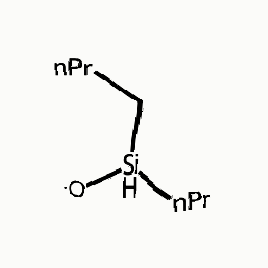 CCCC[SiH]([O])CCC